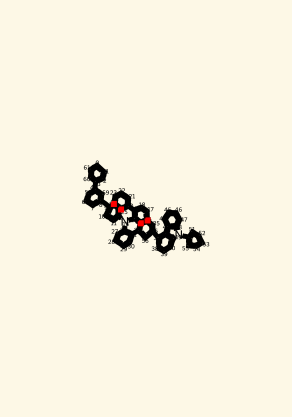 c1ccc(-c2cccc(-c3ccc(N(c4ccccc4-c4ccccc4)c4ccccc4-c4cccc(-c5cccc6c5c5ccccc5n6-c5ccccc5)c4)cc3)c2)cc1